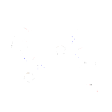 CO/N=C(/C(=O)N[C@H]1CC=C[C@H](CC(=O)O)OB1O)c1cc(CO/N=C(\C(=O)N[C@H]2CC=C[C@H](CC(=O)O)OB2O)c2cccs2)cs1